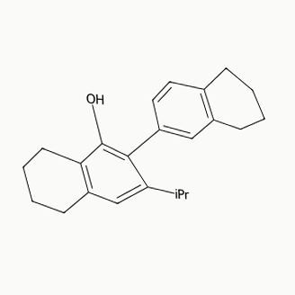 CC(C)c1cc2c(c(O)c1-c1ccc3c(c1)CCCC3)CCCC2